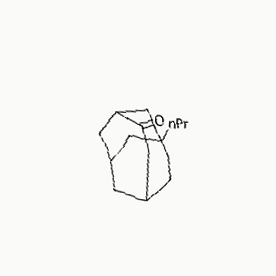 CCCC12CC3CC(C1)C(=O)C(C3)C2